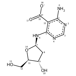 Nc1ncnc(N[C@H]2C[C@H](O)[C@@H](CO)O2)c1[N+](=O)[O-]